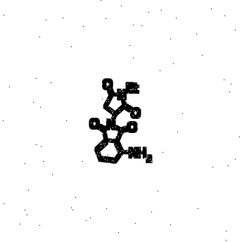 CCN1C(=O)CC(N2C(=O)c3cccc(N)c3C2=O)C1=O